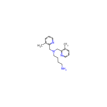 Cc1cccnc1CN(CCCCN)Cc1ncccc1C(F)(F)F